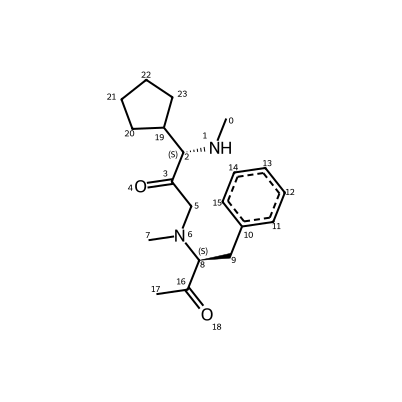 CN[C@H](C(=O)CN(C)[C@@H](Cc1ccccc1)C(C)=O)C1CCCC1